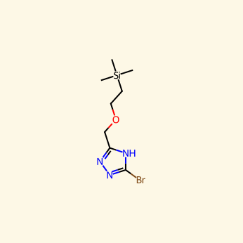 C[Si](C)(C)CCOCc1nnc(Br)[nH]1